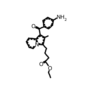 CCOC(=O)CCCc1c(C)c(C(=O)c2ccc(N)cc2)c2ccccn12